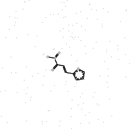 O=C(C=Cc1ccco1)[N+](=O)[O-]